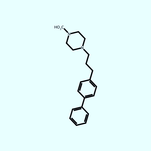 O=C(O)N1CCN(CCCc2ccc(-c3ccccc3)cc2)CC1